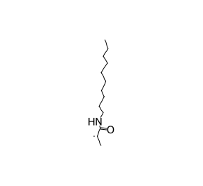 C[CH]C(=O)NCCCCCCCCCC